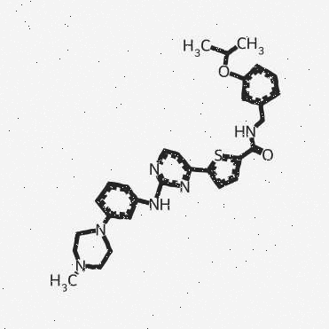 CC(C)Oc1cccc(CNC(=O)c2ccc(-c3ccnc(Nc4cccc(N5CCN(C)CC5)c4)n3)s2)c1